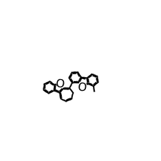 Cc1cccc2c1oc1c(C3=c4oc5ccccc5c4=CC=CC3)cccc12